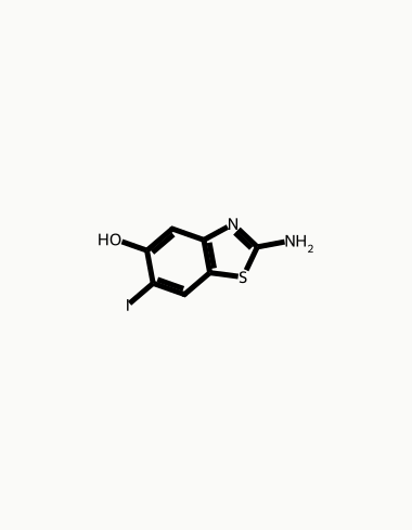 Nc1nc2cc(O)c(I)cc2s1